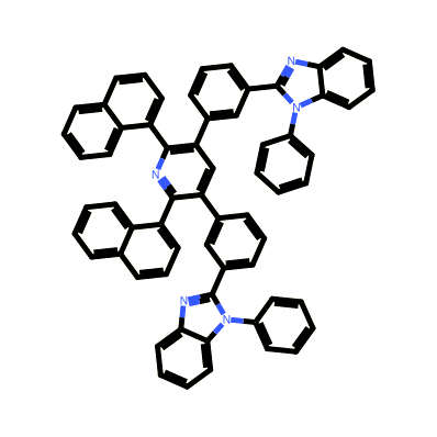 c1ccc(-n2c(-c3cccc(-c4cc(-c5cccc(-c6nc7ccccc7n6-c6ccccc6)c5)c(-c5cccc6ccccc56)nc4-c4cccc5ccccc45)c3)nc3ccccc32)cc1